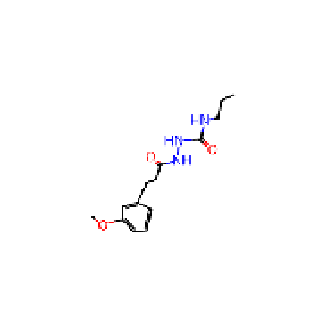 CCCNC(=O)NNC(=O)CCc1cccc(OC)c1